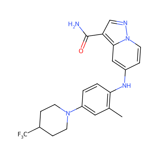 Cc1cc(N2CCC(C(F)(F)F)CC2)ccc1Nc1ccn2ncc(C(N)=O)c2c1